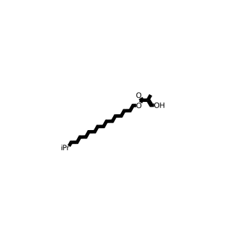 CC(=CO)C(=O)OCCCCCCCCCCCCCCCC(C)C